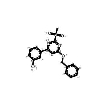 CS(=O)(=O)c1nc(OCc2ccccc2)cc(-c2cccc(C(F)(F)F)c2)n1